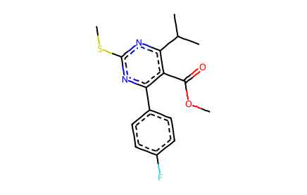 COC(=O)c1c(-c2ccc(F)cc2)nc(SC)nc1C(C)C